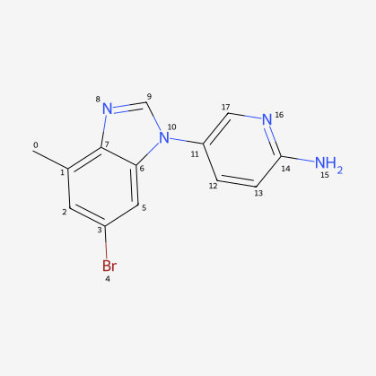 Cc1cc(Br)cc2c1ncn2-c1ccc(N)nc1